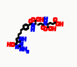 Nc1nc(O)c2cc(CCCc3ccc(C(=O)N[C@@H](CCC(=O)N[C@@H](CCC(=O)O)C(=O)O)C(=O)O)cc3)[nH]c2n1